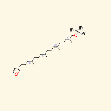 C/C(=C\CC/C(C)=C/CCc1ccoc1)CC/C=C(\C)CC/C=C(\C)CO[Si](C(C)C)(C(C)C)C(C)C